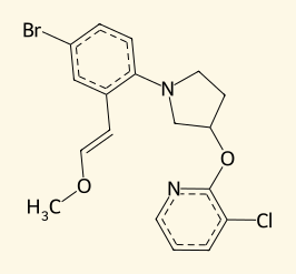 CO/C=C/c1cc(Br)ccc1N1CCC(Oc2ncccc2Cl)C1